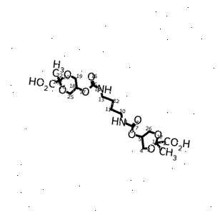 CC1(C(=O)O)OCC(OC(=O)NCCCCNC(=O)OC2COC(C)(C(=O)O)OC2)CO1